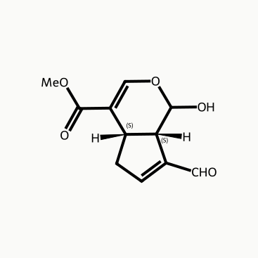 COC(=O)C1=COC(O)[C@@H]2C(C=O)=CC[C@H]12